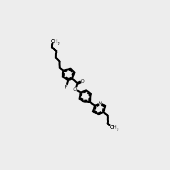 CCCCCCc1ccc(C(=O)Oc2ccc(-c3ccc(CCC)cn3)cc2)c(F)c1